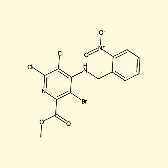 COC(=O)c1nc(Cl)c(Cl)c(NCc2ccccc2[N+](=O)[O-])c1Br